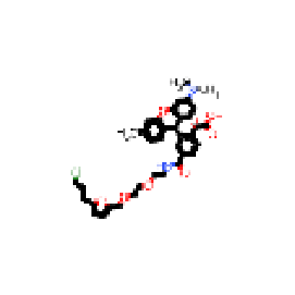 C=c1ccc2c(c1)Oc1cc(N(C)C)ccc1C=2c1cc(C(=O)NCCOCCOCc2ccc(CCCCl)o2)ccc1C(=O)C(=O)O